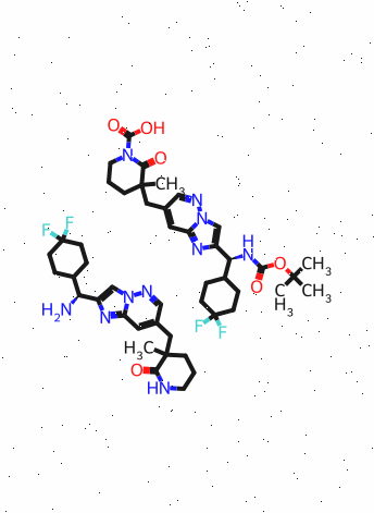 CC(C)(C)OC(=O)N[C@H](c1cn2ncc(CC3(C)CCCN(C(=O)O)C3=O)cc2n1)C1CCC(F)(F)CC1.CC1(Cc2cnn3cc([C@@H](N)C4CCC(F)(F)CC4)nc3c2)CCCNC1=O